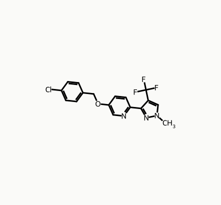 Cn1cc(C(F)(F)F)c(-c2ccc(OCc3ccc(Cl)cc3)cn2)n1